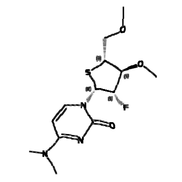 COC[C@H]1S[C@@H](n2ccc(N(C)C)nc2=O)[C@@H](F)[C@@H]1OC